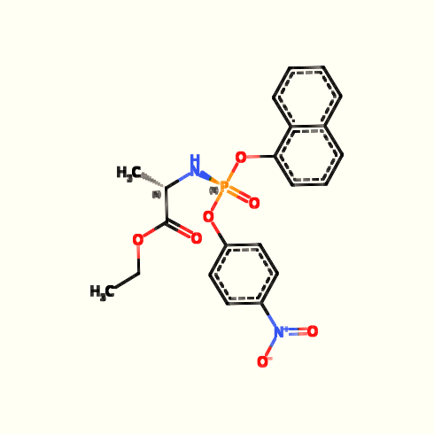 CCOC(=O)[C@H](C)N[P@@](=O)(Oc1ccc([N+](=O)[O-])cc1)Oc1cccc2ccccc12